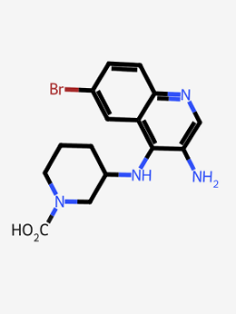 Nc1cnc2ccc(Br)cc2c1NC1CCCN(C(=O)O)C1